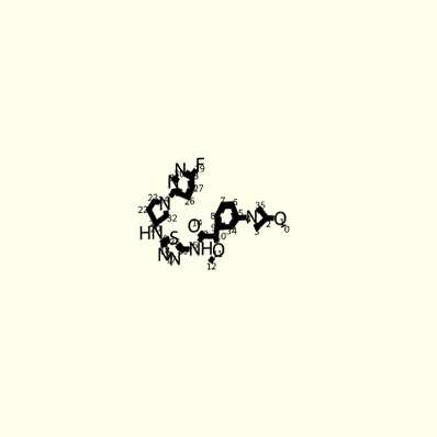 COC1CN(c2cccc(C(OC)C(=O)Nc3nnc(N[C@@H]4CCN(c5ccc(F)nn5)C4)s3)c2)C1